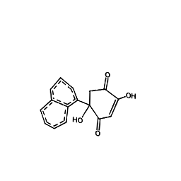 O=C1CC(O)(c2cccc3ccccc23)C(=O)C=C1O